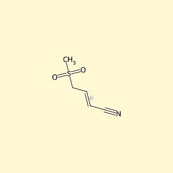 CS(=O)(=O)C/C=C/C#N